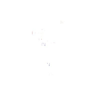 O=C(Nc1ccc(N2CCOCC2)cc1)C(c1ccc(Br)cc1)S(=O)(=O)O